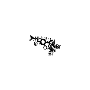 COc1cc(C(=O)NC2CC2)ccc1-c1cnc2c(Br)nc(Br)cn12